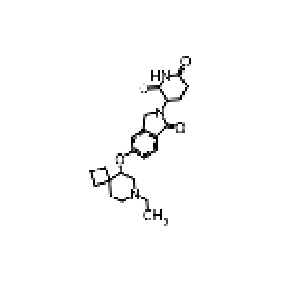 CCN1CCC2(CCC2)[C@@H](Oc2ccc3c(c2)CN(C2CCC(=O)NC2=O)C3=O)C1